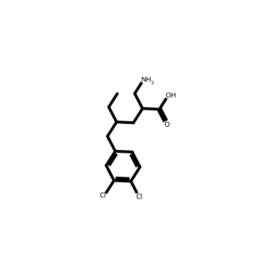 CCC(Cc1ccc(Cl)c(Cl)c1)CC(CN)C(=O)O